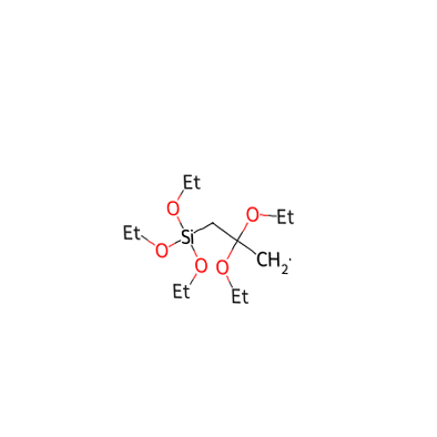 [CH2]C(C[Si](OCC)(OCC)OCC)(OCC)OCC